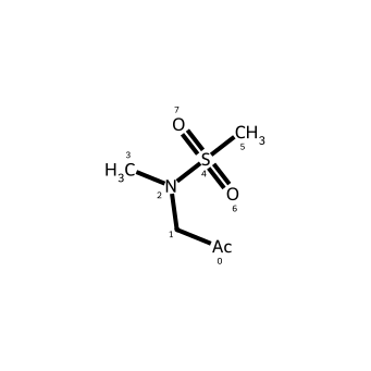 CC(=O)CN(C)S(C)(=O)=O